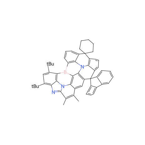 Cc1c(C)c2nc3c(C(C)(C)C)cc(C(C)(C)C)c4c3n2c2c3c5c(cc12)C1(c2ccccc2-c2ccccc21)c1cccc2c1N5c1c(cccc1C21CCCCC1)B34